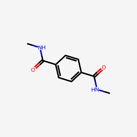 CNC(=O)c1ccc(C(=O)NC)cc1